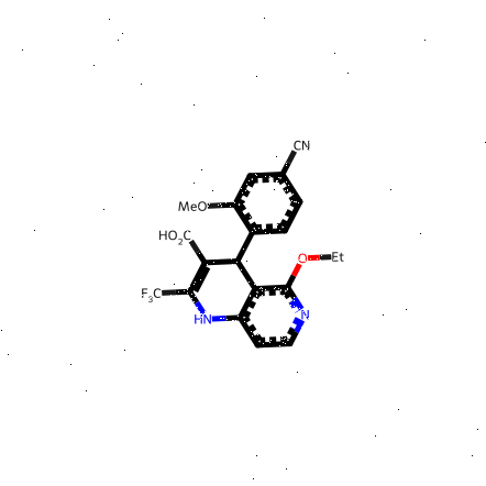 CCOc1nccc2c1C(c1ccc(C#N)cc1OC)C(C(=O)O)=C(C(F)(F)F)N2